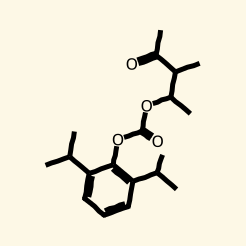 CC(=O)C(C)C(C)OC(=O)Oc1c(C(C)C)cccc1C(C)C